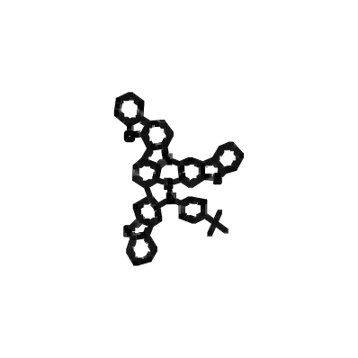 CC(C)(C)c1ccc(N2B3c4cc5sc6ccccc6c5cc4-n4c5ccc6c7ccccc7oc6c5c5ccc(c3c54)-c3cc4sc5ccccc5c4cc32)cc1